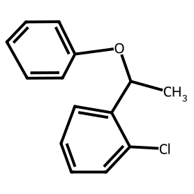 CC(Oc1ccccc1)c1ccccc1Cl